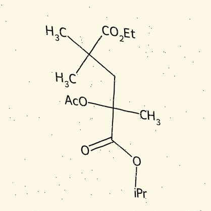 CCOC(=O)C(C)(C)CC(C)(OC(C)=O)C(=O)OC(C)C